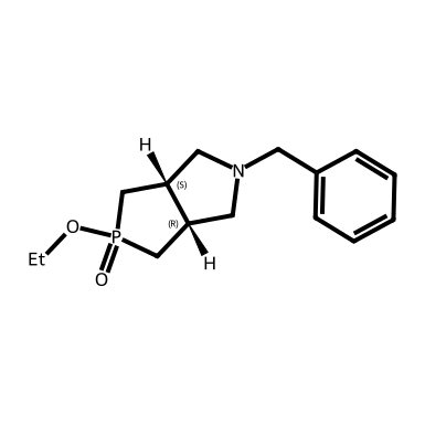 CCOP1(=O)C[C@H]2CN(Cc3ccccc3)C[C@H]2C1